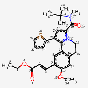 CCOC(=O)C=Cc1cc2c(cc1OC)CCn1c(C(=O)N(C)C(C)(C)C)cc(-c3cccs3)c1-2